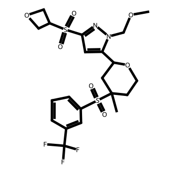 COCn1nc(S(=O)(=O)C2COC2)cc1C1CC(C)(S(=O)(=O)c2cccc(C(F)(F)F)c2)CCO1